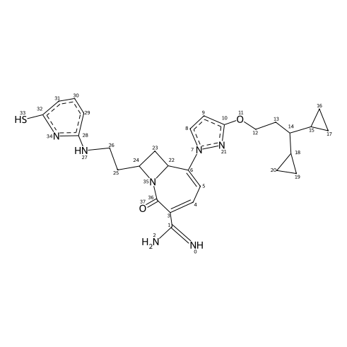 N=C(N)C1=CC=C(n2ccc(OCCC(C3CC3)C3CC3)n2)C2CC(CCNc3cccc(S)n3)N2C1=O